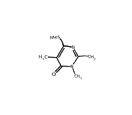 CSc1nc(C)n(C)c(=O)c1C